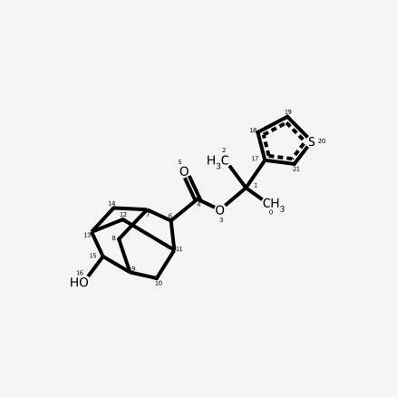 CC(C)(OC(=O)C1C2CC3CC1CC(C2)C3O)c1ccsc1